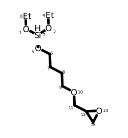 CCO[SiH](OCC)OCCCCOCC1CO1